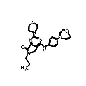 CCCN1Cc2c(Nc3ccc(N4CCOCC4)cc3)nc(N3CCOCC3)nc2C1=O